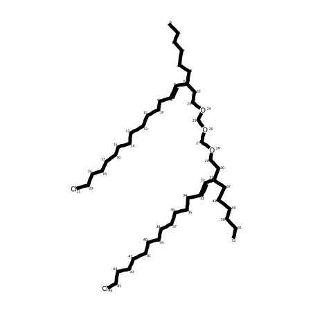 CCCCCCC(C=CCCCCCCCCCCCCCl)CCOCOCOCCC(C=CCCCCCCCCCCCCCl)CCCCCC